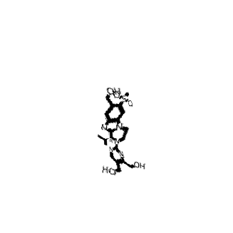 CC(C)[C@@H]1c2nc3cc(CO)c(S(C)(=O)=O)cc3n2CCN1c1ncc(CO)c(CO)n1